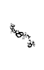 CC[C@@]1(O)C(=O)OCc2c1cc1n(c2=O)Cc2c-1nc1ccc(NC(=O)OC[C@@H](C)SSc3ncccc3[N+](=O)[O-])c3c1c2CCC3